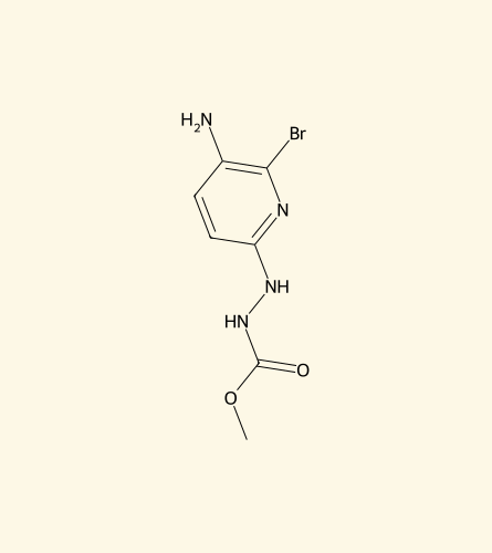 COC(=O)NNc1ccc(N)c(Br)n1